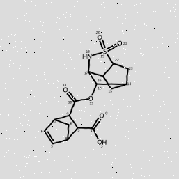 O=C(O)C1C2C=CC(C2)C1C(=O)OC1C2CC3C1NS(=O)(=O)C3C2